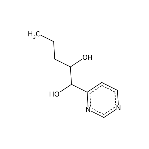 CCCC(O)C(O)c1ccncn1